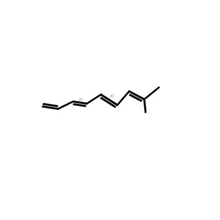 C=C/C=C/C=C/C=C(C)C